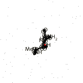 C=C1CC2CNc3cc(OCCCCCOc4cc5c(cc4OC)C(=O)N4CC(=C)C[C@H]4[C@H](O)N5C(=O)OCc4ccc(NC(=O)[C@H](CCCNC(N)=O)NC(=O)CNC(=O)CCCCCN5C(=O)C=CC5=O)cc4)c(OC)cc3C(=O)N2C1